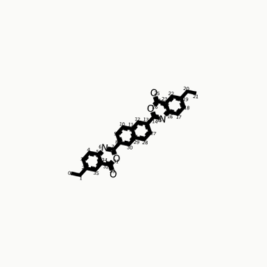 CCc1ccc2nc(-c3ccc4cc(-c5nc6ccc(CC)cc6c(=O)o5)ccc4c3)oc(=O)c2c1